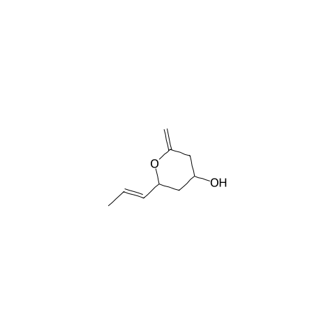 C=C1CC(O)CC(/C=C/C)O1